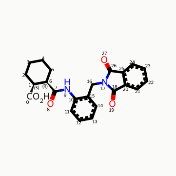 O=C(O)[C@H]1CCCC[C@H]1C(=O)Nc1ccccc1CN1C(=O)c2ccccc2C1=O